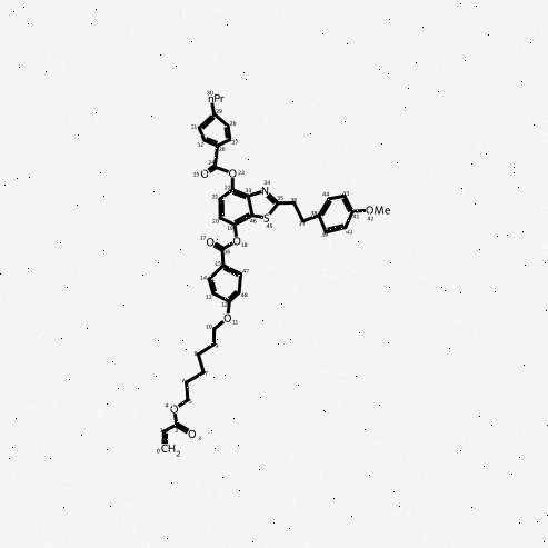 C=CC(=O)OCCCCCCOc1ccc(C(=O)Oc2ccc(OC(=O)c3ccc(CCC)cc3)c3nc(CCc4ccc(OC)cc4)sc23)cc1